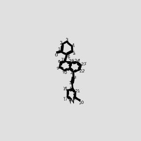 CC1=CCCC=C1c1cccc2c(C#Cc3ccnc(C)c3)cccc12